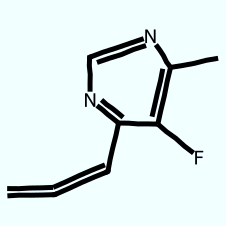 C=C=Cc1ncnc(C)c1F